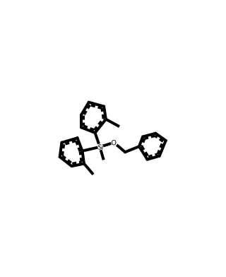 Cc1ccccc1[Si](C)(OCc1ccccc1)c1ccccc1C